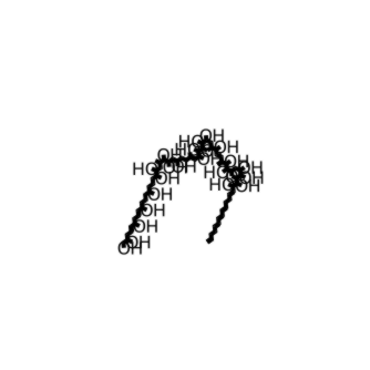 C=CCC/C=C/C=C/C=C/CC/C=C/C(O)C(O)C1OC(C(O)C(O)C(=C)CCC(O)C2CC(O)C(O)C(C(O)C(O)/C=C(\C)CCC(O)CC(O)C(O)C(C)CC(O)C(O)CCCC(O)CCCC(O)/C=C/CC(O)/C=C/CC(O)CO)O2)CC(O)C1O